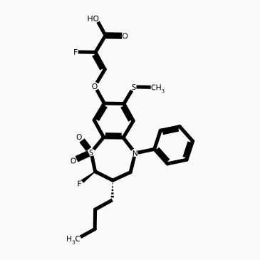 CCCC[C@H]1CN(c2ccccc2)c2cc(SC)c(OC=C(F)C(=O)O)cc2S(=O)(=O)[C@@H]1F